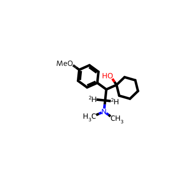 [2H]C([2H])(C(c1ccc(OC)cc1)C1(O)CCCCC1)N(C)C